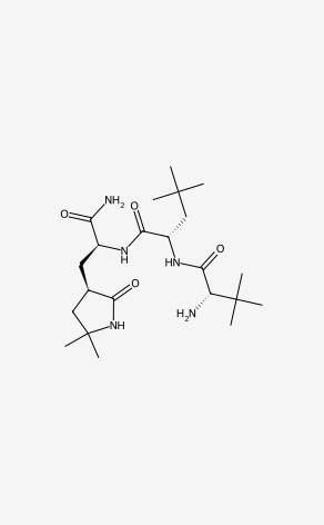 CC(C)(C)C[C@H](NC(=O)[C@@H](N)C(C)(C)C)C(=O)N[C@@H](C[C@@H]1CC(C)(C)NC1=O)C(N)=O